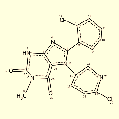 Cn1c(=O)[nH]c2nc(-c3ccccc3Cl)n(-c3ccc(Cl)nc3)c2c1=O